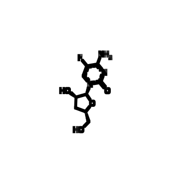 Nc1nc(=O)n([C@H]2O[C@@H](CO)C[C@H]2O)cc1F